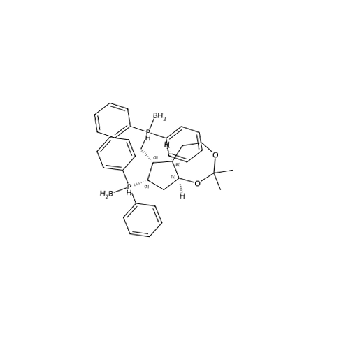 B[PH](C[C@@H]1[C@H]2CCOC(C)(C)O[C@H]2C[C@@H]1[PH](B)(c1ccccc1)c1ccccc1)(c1ccccc1)c1ccccc1